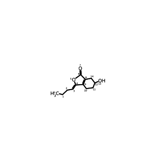 CCCC=C1OC(=O)C2=C1CCC(O)C2